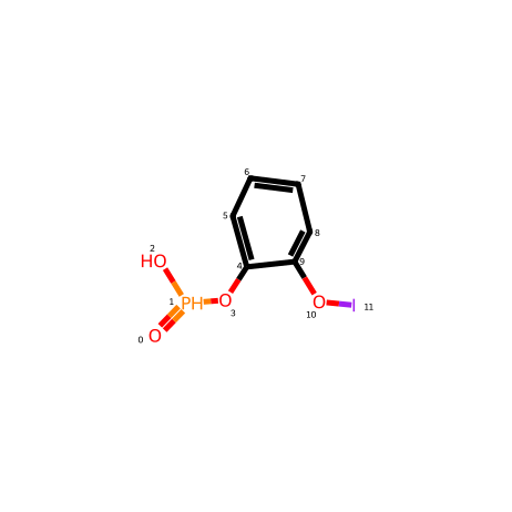 O=[PH](O)Oc1ccccc1OI